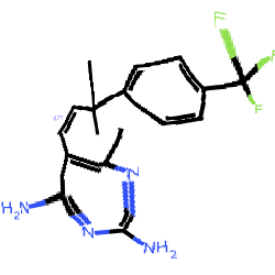 Cc1nc(N)nc(N)c1/C=C\C(C)(C)c1ccc(C(F)(F)F)cc1